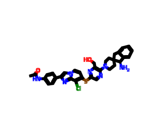 CC(=O)Nc1ccc(-c2cn3ccc(Sc4cnc(N5CCC6(CC5)Cc5ccccc5[C@H]6N)c(CO)n4)c(Cl)c3n2)cc1